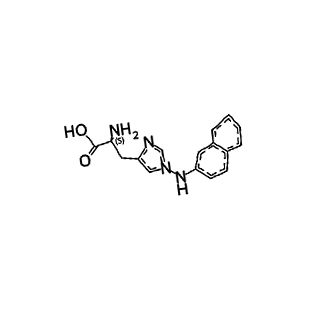 N[C@@H](Cc1cn(Nc2ccc3ccccc3c2)cn1)C(=O)O